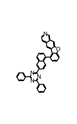 c1ccc(-c2nc(-c3ccccc3)nc(-c3ccc4c(-c5cccc6oc7cc8cnccc8cc7c56)cccc4c3)n2)cc1